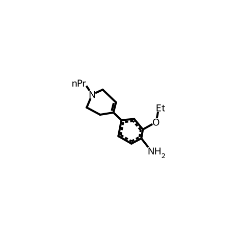 CCCN1CC=C(c2ccc(N)c(OCC)c2)CC1